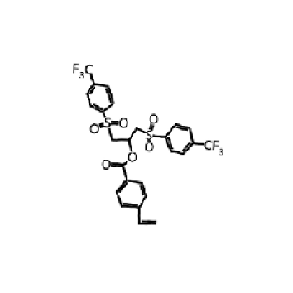 C=Cc1ccc(C(=O)OC(CS(=O)(=O)c2ccc(C(F)(F)F)cc2)CS(=O)(=O)c2ccc(C(F)(F)F)cc2)cc1